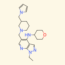 CCn1ncc2c(NC3CCOCC3)c(CN3CCCC(Cn4cccc4)C3)cnc21